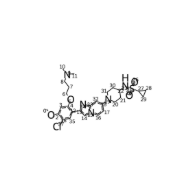 COc1cc(OCCCN(C)C)c(-c2cn3ccc(N4CCC(NS(=O)(=O)C5CC5)CC4)cc3n2)cc1Cl